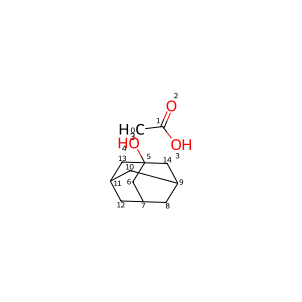 CC(=O)O.OC12CC3CC(CC(C3)C1)C2